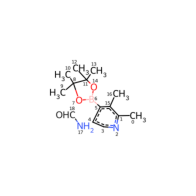 Cc1nccc(B2OC(C)(C)C(C)(C)O2)c1C.NC=O